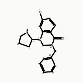 O=C1c2ccc(Cl)cc2N(C2CCCN2)CN1Cc1ccccc1